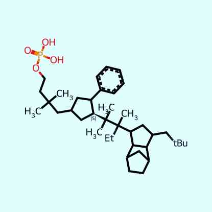 CCC(C)(C1CC(CC(C)(C)C)C2C3CCC(C3)C21)C(C)(C)[C@H]1CC(CC(C)(C)CCOP(=O)(O)O)CC1c1ccccc1